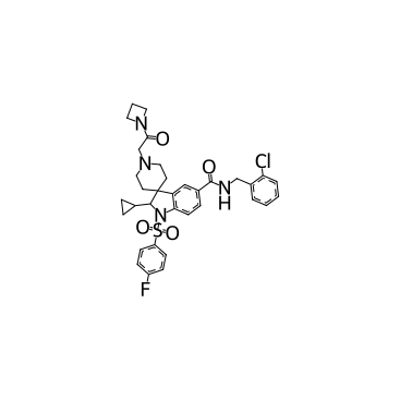 O=C(NCc1ccccc1Cl)c1ccc2c(c1)C1(CCN(CC(=O)N3CCC3)CC1)C(C1CC1)N2S(=O)(=O)c1ccc(F)cc1